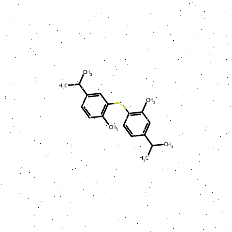 Cc1cc(C(C)C)ccc1Sc1cc(C(C)C)ccc1C